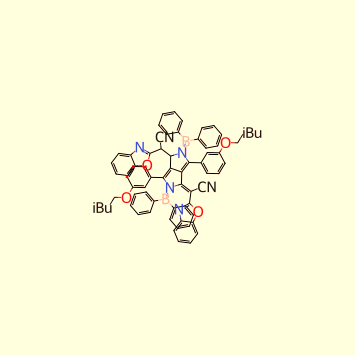 CCC(C)COc1cccc(C2=c3c(c(-c4cccc(OCC(C)CC)c4)n(B(c4ccccc4)c4ccccc4)/c3=C(/C#N)c3nc4ccccc4o3)C(C(C#N)c3nc4ccccc4o3)N2B(c2ccccc2)c2ccccc2)c1